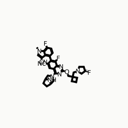 Cn1cc(C#N)c2c(-c3c(C#N)cc4c(N5CC6CCC(C5)N6)nc(OCC5(CN6CC[C@@H](F)C6)CCC5)nc4c3F)ccc(F)c21